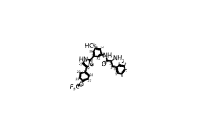 Cl.N[C@@H](Cc1ccccc1)C(=O)Nc1cccc(-c2nc(-c3ccc(OC(F)(F)F)cc3)c[nH]2)c1